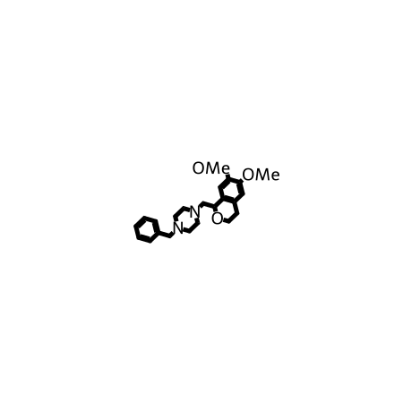 COc1cc2c(cc1OC)C(CN1CCN(Cc3ccccc3)CC1)OCC2